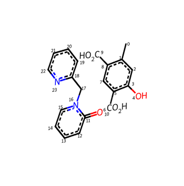 Cc1cc(O)c(C(=O)O)cc1C(=O)O.O=c1ccccn1Cc1ccccn1